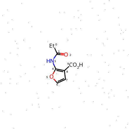 CCC(=O)Nc1occc1C(=O)O